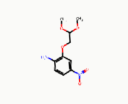 COC(COc1cc([N+](=O)[O-])ccc1N)OC